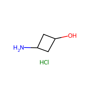 Cl.NC1CC(O)C1